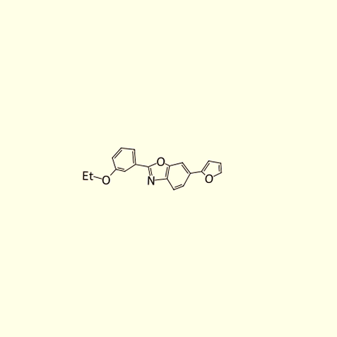 CCOc1cccc(-c2nc3ccc(-c4ccco4)cc3o2)c1